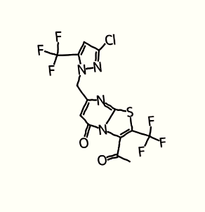 CC(=O)c1c(C(F)(F)F)sc2nc(Cn3nc(Cl)cc3C(F)(F)F)cc(=O)n12